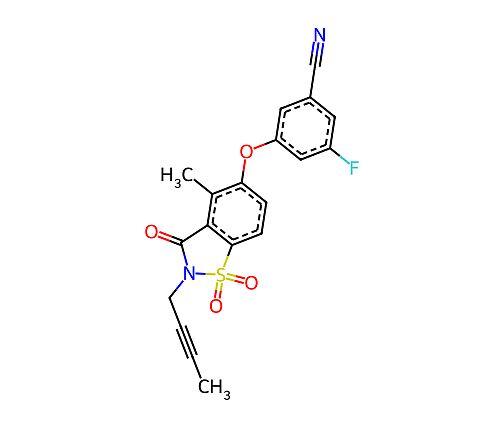 CC#CCN1C(=O)c2c(ccc(Oc3cc(F)cc(C#N)c3)c2C)S1(=O)=O